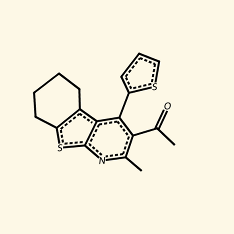 CC(=O)c1c(C)nc2sc3c(c2c1-c1cccs1)CCCC3